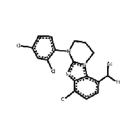 CCC(C(C)=O)c1ccc(Cl)c2nc3n(c12)CCCN3c1ccc(Cl)cc1Cl